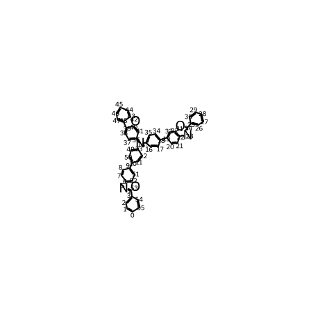 c1ccc(-c2nc3ccc(-c4ccc(N(c5ccc(-c6ccc7nc(-c8ccccc8)oc7c6)cc5)c5ccc6c(c5)oc5ccccc56)cc4)cc3o2)cc1